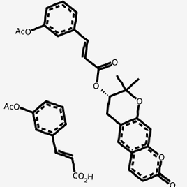 CC(=O)Oc1cccc(/C=C/C(=O)O)c1.CC(=O)Oc1cccc(/C=C/C(=O)O[C@H]2Cc3cc4ccc(=O)oc4cc3OC2(C)C)c1